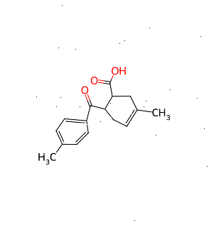 CC1=CCC(C(=O)c2ccc(C)cc2)C(C(=O)O)C1